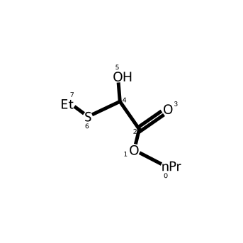 CCCOC(=O)C(O)SCC